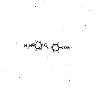 COc1ccc(COc2cnc(N)cn2)cc1